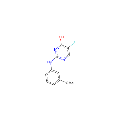 COc1cccc(Nc2ncc(F)c(O)n2)c1